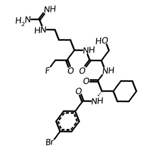 N=C(N)NCCCC(NC(=O)C(CO)NC(=O)[C@@H](NC(=O)c1ccc(Br)cc1)C1CCCCC1)C(=O)CF